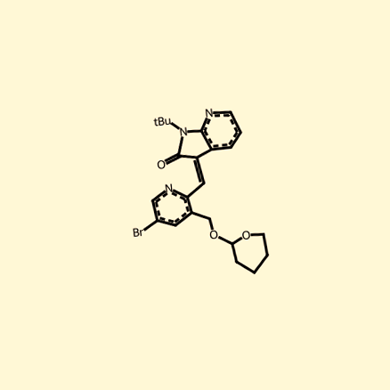 CC(C)(C)N1C(=O)C(=Cc2ncc(Br)cc2COC2CCCCO2)c2cccnc21